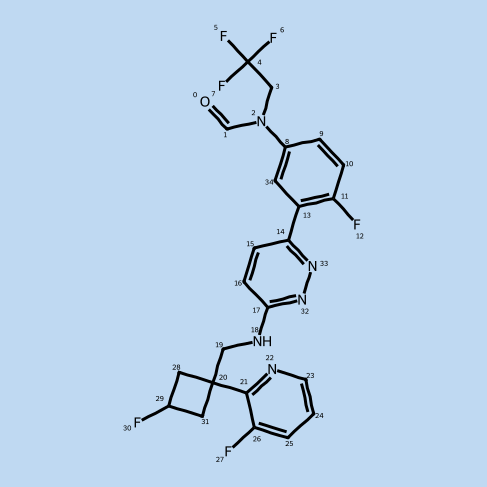 O=CN(CC(F)(F)F)c1ccc(F)c(-c2ccc(NCC3(c4ncccc4F)CC(F)C3)nn2)c1